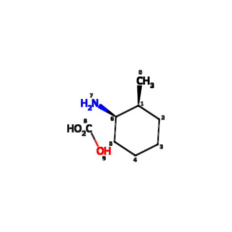 C[C@H]1CCCC[C@H]1N.O=C(O)O